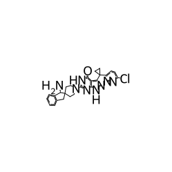 N[C@@H]1c2ccccc2CC12CCN(c1nc3[nH]nc(C4(c5ccc(Cl)nn5)CC4)c3c(=O)[nH]1)CC2